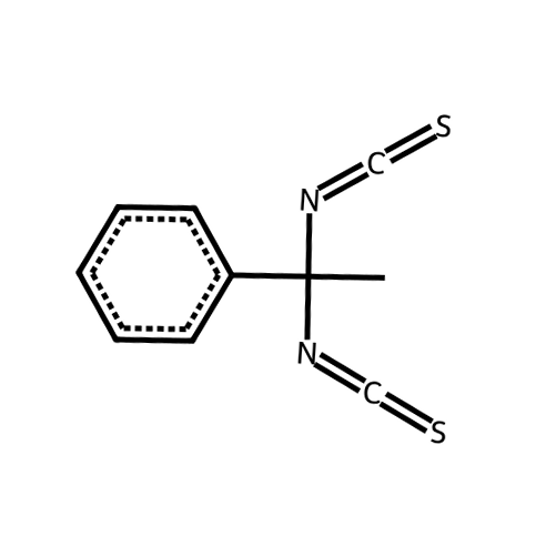 CC(N=C=S)(N=C=S)c1ccccc1